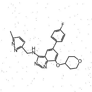 Cc1ccc(CNc2ncnc3c(OC4CCOCC4)cc(-c4ccc(F)cc4)cc23)nn1